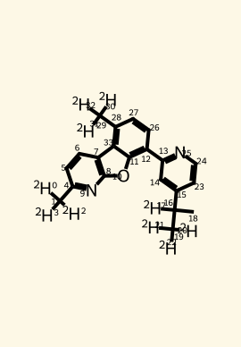 [2H]C([2H])([2H])c1ccc2c(n1)oc1c(-c3cc(C([2H])(C)C([2H])([2H])[2H])ccn3)ccc(C([2H])([2H])[2H])c12